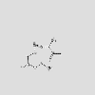 C=C(C)C(=O)O.CN(CCO)CCO